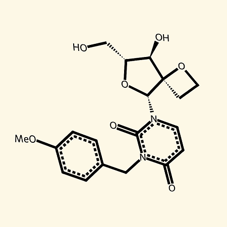 COc1ccc(Cn2c(=O)ccn([C@@H]3O[C@H](CO)[C@@H](O)[C@]34CCO4)c2=O)cc1